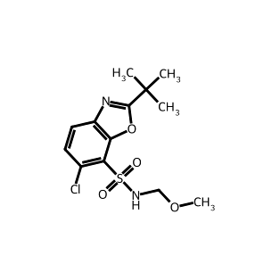 COCNS(=O)(=O)c1c(Cl)ccc2nc(C(C)(C)C)oc12